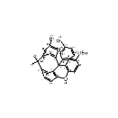 CC(C)(C)c1ccc2c(c1)C1(c3cccc(Br)n3)c3cc(cc(Br)n3)C(C)(C)c3ccc(c1c3)O2